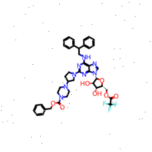 O=C(OCc1ccccc1)N1CCN(C2CCN(c3nc(NCC(c4ccccc4)c4ccccc4)c4ncn([C@@H]5O[C@H](COC(=O)C(F)(F)F)[C@@H](O)[C@H]5O)c4n3)C2)CC1